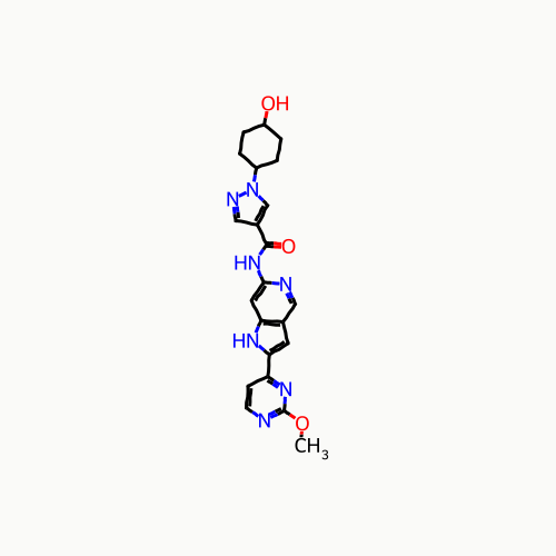 COc1nccc(-c2cc3cnc(NC(=O)c4cnn(C5CCC(O)CC5)c4)cc3[nH]2)n1